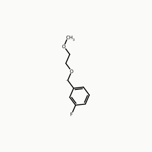 COCCO[CH]c1cccc(F)c1